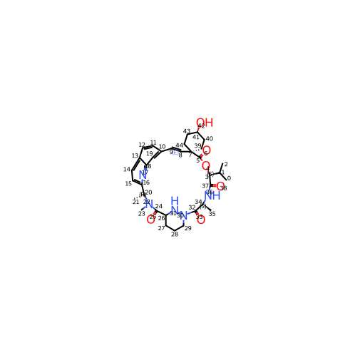 CC(C)[C@@H]1OC(=O)[C@]2(/C=C/c3ccc4ccc(nc4c3)[C@@H](C)N(C)C(=O)C3CCCN(N3)C(=O)[C@H](C)NC1=O)CC[C@H](O)CC2